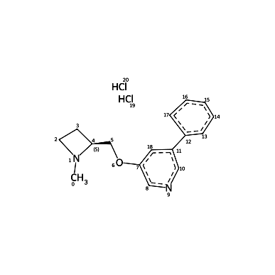 CN1CC[C@H]1COc1cncc(-c2ccccc2)c1.Cl.Cl